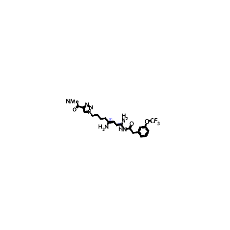 CNC(=O)c1cn(CCCC/C(N)=C/C=C(\N)NC(=O)Cc2cccc(OC(F)(F)F)c2)nn1